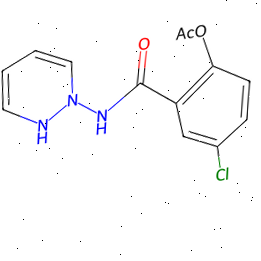 CC(=O)Oc1ccc(Cl)cc1C(=O)NN1C=CC=CN1